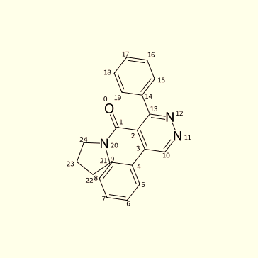 O=C(c1c(-c2ccccc2)cnnc1-c1ccccc1)N1CCCC1